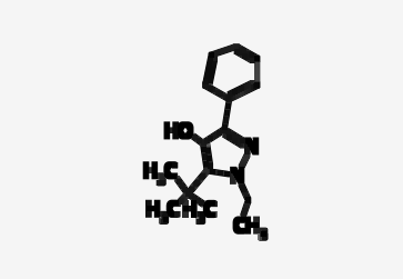 CCn1nc(-c2ccccc2)c(O)c1C(C)(C)C